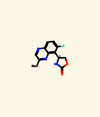 COc1cnc2ccc(F)c([C@H]3COC(=O)N3)c2n1